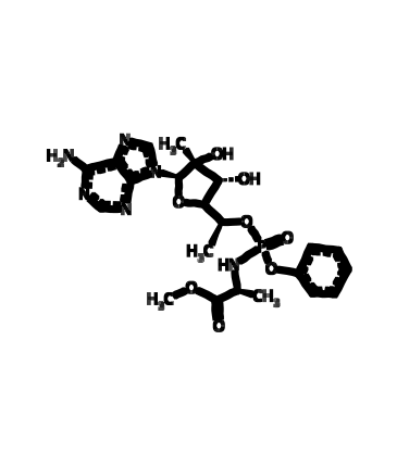 COC(=O)[C@H](C)NP(=O)(Oc1ccccc1)O[C@@H](C)C1O[C@@H](n2cnc3c(N)ncnc32)[C@](C)(O)[C@@H]1O